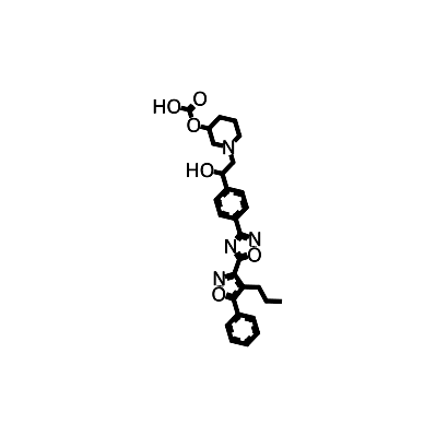 CCCc1c(-c2nc(-c3ccc(C(O)CN4CCCC(OC(=O)O)C4)cc3)no2)noc1-c1ccccc1